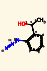 CC(O)c1ccccc1N=[N+]=[N-]